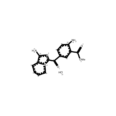 COC(=O)c1cc(C(=O)c2nc(N)c3ccccn23)ccc1N.Cl